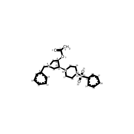 CC(=O)O[C@@H]1CN(Cc2ccccc2)C[C@@H]1N1CCN(S(=O)(=O)c2ccccc2)CC1